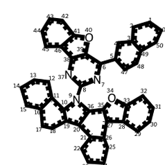 c1ccc2cc(-c3nc(-n4c5c6ccccc6ccc5c5c6ccccc6c6c7ccccc7oc6c54)nc4c3oc3ccccc34)ccc2c1